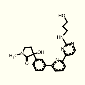 CN1CCC(O)(c2cccc(-c3cccc(-c4ccnc(NCCCO)n4)n3)c2)C1=O